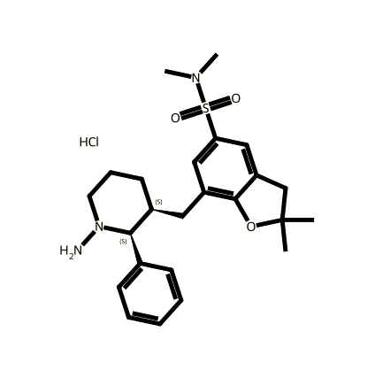 CN(C)S(=O)(=O)c1cc(C[C@@H]2CCCN(N)[C@@H]2c2ccccc2)c2c(c1)CC(C)(C)O2.Cl